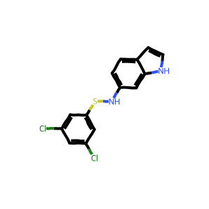 Clc1cc(Cl)cc(SNc2ccc3cc[nH]c3c2)c1